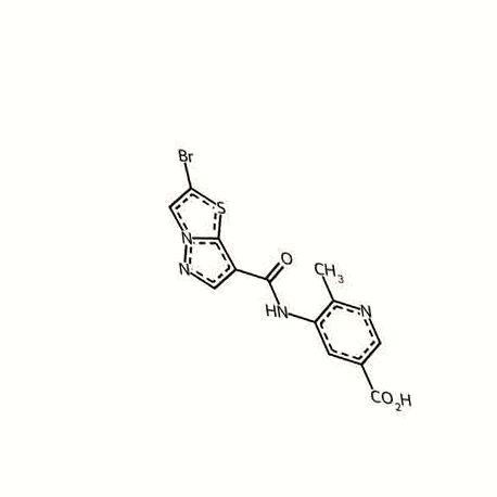 Cc1ncc(C(=O)O)cc1NC(=O)c1cnn2cc(Br)sc12